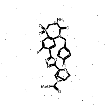 COC(=O)N1CC2(c3nnc(-c4cc5c(cc4F)S(=O)(=O)C[C@H](N)C(=O)N5Cc4ccc(Cl)cc4)o3)CC1CO2